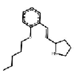 CCCCCOc1ccccc1C=CC1CCCN1